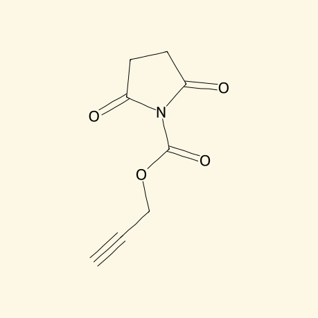 C#CCOC(=O)N1C(=O)CCC1=O